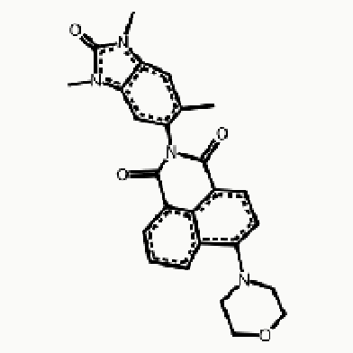 Cc1cc2c(cc1N1C(=O)c3cccc4c(N5CCOCC5)ccc(c34)C1=O)n(C)c(=O)n2C